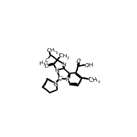 Cc1cc[n+]2c(c1C(=O)O)C1=NC(C)(C(C)C)C(=O)N1[C-]2N1CCCC1